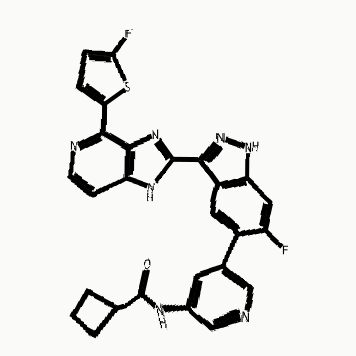 O=C(Nc1cncc(-c2cc3c(-c4nc5c(-c6ccc(F)s6)nccc5[nH]4)n[nH]c3cc2F)c1)C1CCC1